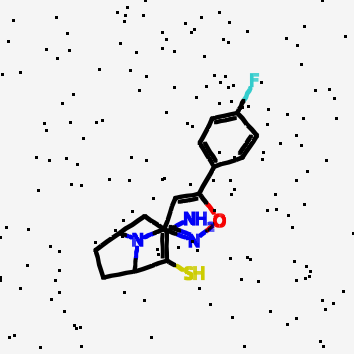 NC1=C(S)C2CCC(C1)N2c1cc(-c2ccc(F)cc2)on1